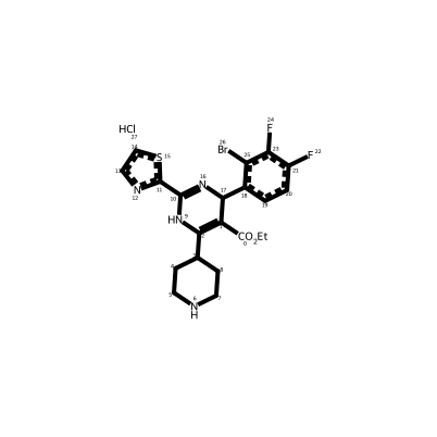 CCOC(=O)C1=C(C2CCNCC2)NC(c2nccs2)=NC1c1ccc(F)c(F)c1Br.Cl